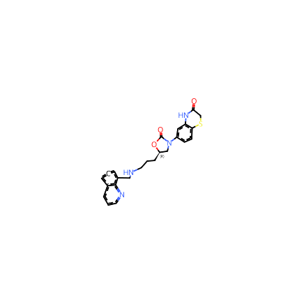 O=C1CSc2ccc(N3C[C@@H](CCCNCc4cccc5cccnc45)OC3=O)cc2N1